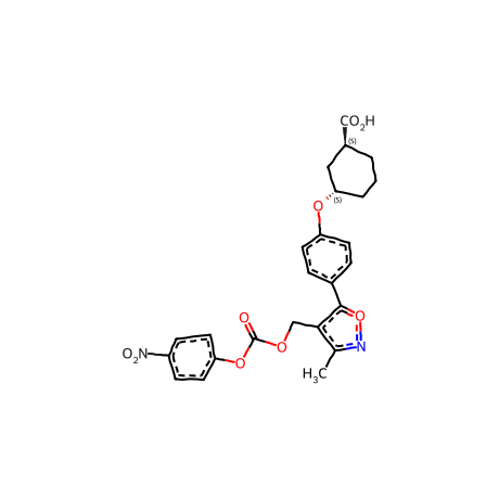 Cc1noc(-c2ccc(O[C@H]3CCC[C@H](C(=O)O)C3)cc2)c1COC(=O)Oc1ccc([N+](=O)[O-])cc1